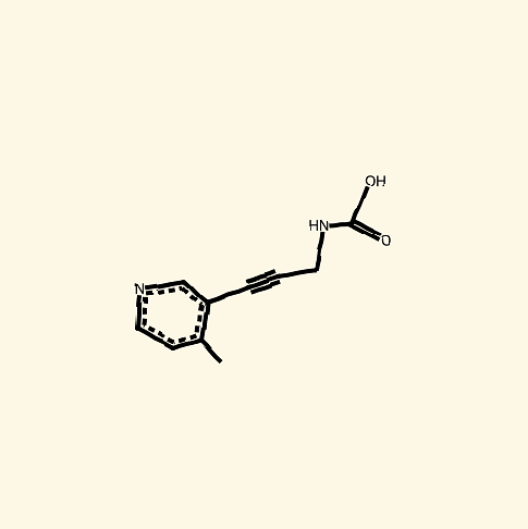 Cc1ccncc1C#CCNC(=O)O